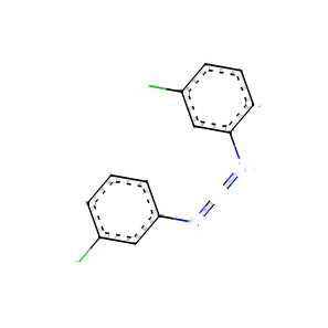 Clc1cccc(N=C=Nc2cccc(Cl)c2)c1